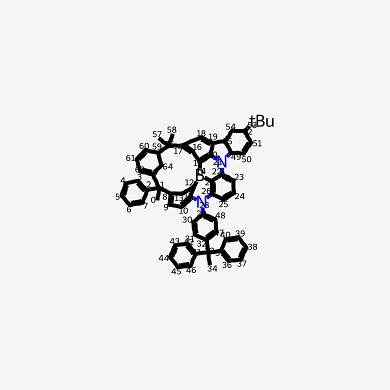 CC1(c2ccccc2)C2=CC=C3C(C2)B2c4cc(cc5c4N(c4cccc(c42)N3c2ccc(C(C)(c3ccccc3)c3ccccc3)cc2)C2C=CC(C(C)(C)C)CC52)C(C)(C)C2C=CC=C1C2